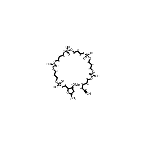 BC1CC(OC)C(COP(=O)(O)OCCCOP(=O)(O)OCCCOP(=O)(O)OCCCOP(=O)(O)OCCCOP(=O)(O)OCCCCC#C)O1